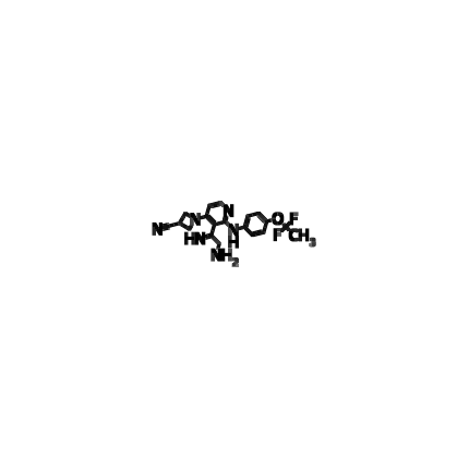 CC(F)(F)Oc1ccc(Nc2nccc(N3CC(C#N)C3)c2C(=N)CN)cc1